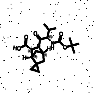 CC(C)[C@H](NC(=O)OC(C)(C)C)C(=O)N1[C@H]2C[C@@H]([C@H]1C(=O)O)C1(CC1)C2